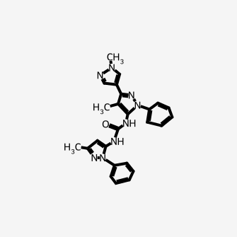 Cc1cc(NC(=O)Nc2c(C)c(-c3cnn(C)c3)nn2-c2ccccc2)n(-c2ccccc2)n1